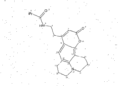 CC(C)C(=O)NCCc1cc(=O)oc2c3c4c(cc12)CCCN4CCC3